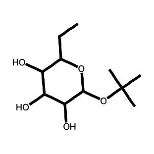 CCC1OC(OC(C)(C)C)C(O)C(O)C1O